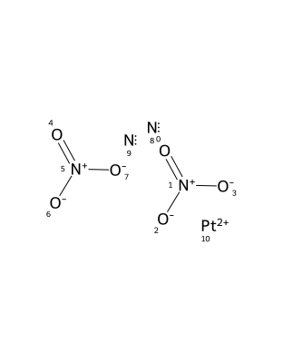 O=[N+]([O-])[O-].O=[N+]([O-])[O-].[N].[N].[Pt+2]